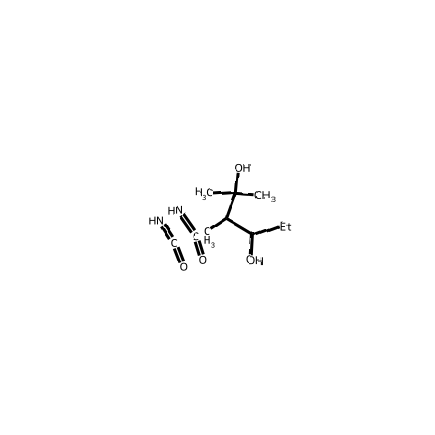 CCC(O)C(C)C(C)(C)O.N=C=O.N=C=O